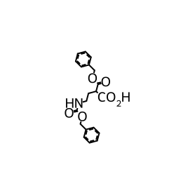 O=C(NCCC(C(=O)O)C(=O)OCc1ccccc1)OCc1ccccc1